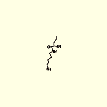 CCCC(S)C(=O)NCCCCCS